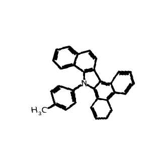 Cc1ccc(-n2c3c4c(c5ccccc5c3c3ccc5ccccc5c32)CCC=C4)cc1